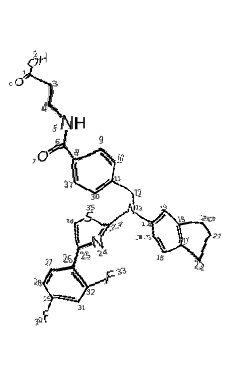 O=C(O)CCNC(=O)c1ccc(CN(c2ccc3c(c2)CCC3)c2nc(-c3ccc(F)cc3F)cs2)cc1